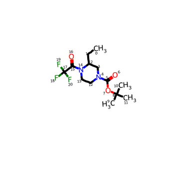 CCC1CN(C(=O)OC(C)(C)C)CCN1C(=O)C(F)(F)F